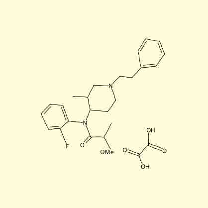 COC(C)C(=O)N(c1ccccc1F)C1CCN(CCc2ccccc2)CC1C.O=C(O)C(=O)O